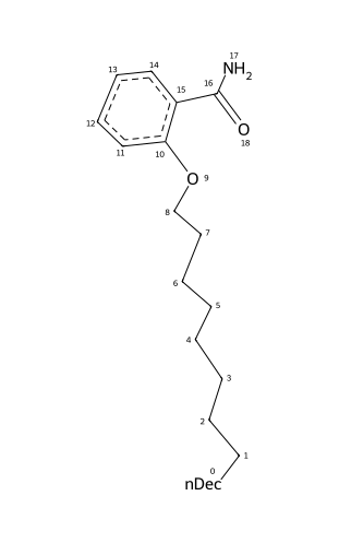 CCCCCCCCCCCCCCCCCCOc1ccccc1C(N)=O